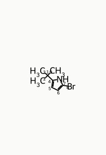 CC(C)(C)c1ccc(Br)[nH]1